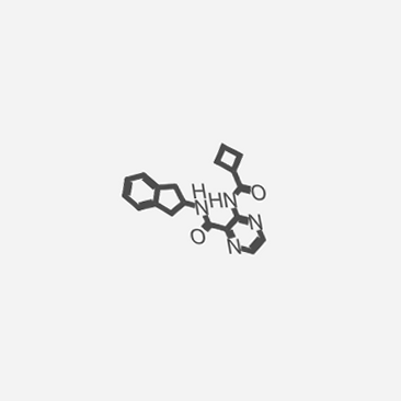 O=C(NC1Cc2ccccc2C1)c1nccnc1NC(=O)C1CCC1